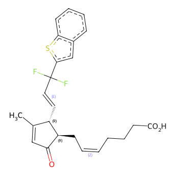 CC1=CC(=O)[C@H](C/C=C\CCCC(=O)O)[C@H]1/C=C/C(F)(F)c1cc2ccccc2s1